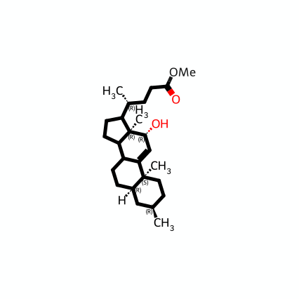 COC(=O)CC[C@@H](C)C1CCC2C3CC[C@@H]4C[C@H](C)CC[C@]4(C)C3=C[C@@H](O)[C@@]21C